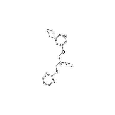 CCc1cncc(OC[C@@H](N)CSc2ncccn2)c1